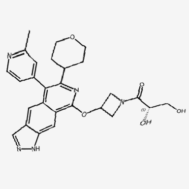 Cc1cc(-c2c(C3CCOCC3)nc(OC3CN(C(=O)[C@@H](O)CO)C3)c3cc4[nH]ncc4cc23)ccn1